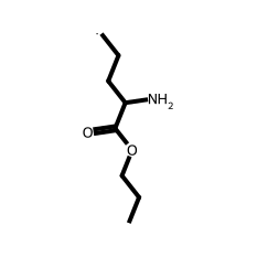 [CH2]CCC(N)C(=O)OCCC